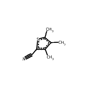 Cc1sc(C#N)c(C)c1C